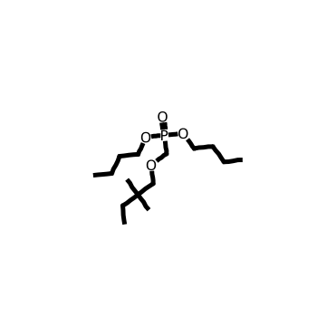 CCCCOP(=O)(COCC(C)(C)CC)OCCCC